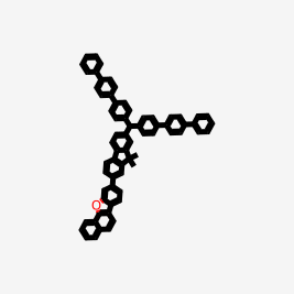 CC1(C)c2cc(-c3ccc4c(c3)oc3c5ccccc5ccc43)ccc2-c2ccc(C(c3ccc(-c4ccc(-c5ccccc5)cc4)cc3)c3ccc(-c4ccc(-c5ccccc5)cc4)cc3)cc21